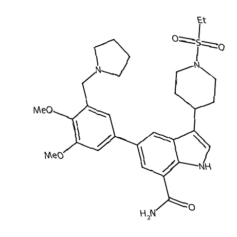 CCS(=O)(=O)N1CCC(c2c[nH]c3c(C(N)=O)cc(-c4cc(CN5CCCC5)c(OC)c(OC)c4)cc23)CC1